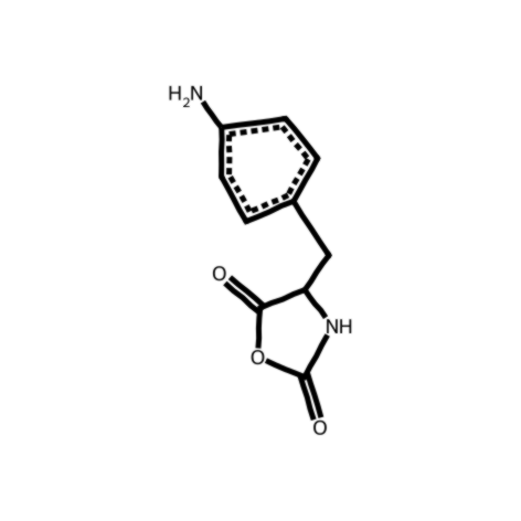 Nc1ccc(CC2NC(=O)OC2=O)cc1